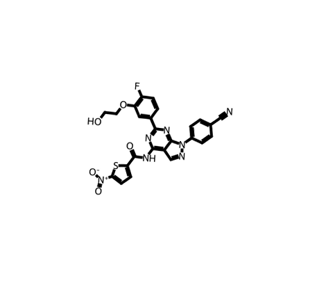 N#Cc1ccc(-n2ncc3c(NC(=O)c4ccc([N+](=O)[O-])s4)nc(-c4ccc(F)c(OCCO)c4)nc32)cc1